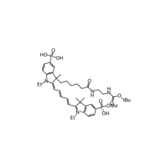 CCN1/C(=C/C=C/C=C/C2=[N+](CC)c3ccc(P(=O)(O)OC)cc3C2(C)C)C(C)(CCCCCC(=O)NCCNC(=O)OC(C)(C)C)c2cc(P(=O)(O)O)ccc21